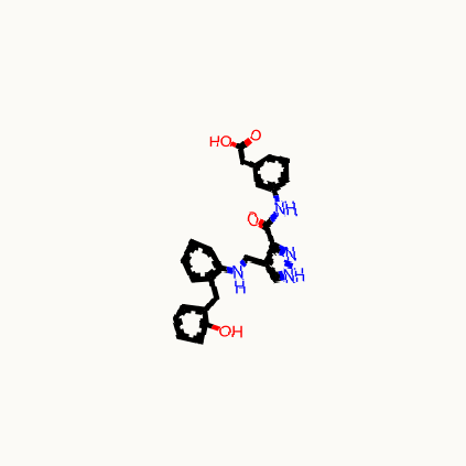 O=C(O)Cc1cccc(NC(=O)c2n[nH]cc2CNc2ccccc2Cc2ccccc2O)c1